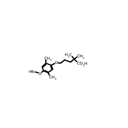 CCCCOc1cc(C)c(OCCCC(C)(C)C(=O)O)cc1C